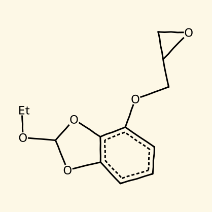 CCOC1Oc2cccc(OCC3CO3)c2O1